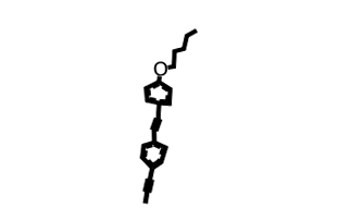 CC#Cc1ccc(C#Cc2ccc(OCCCCC)cc2)cc1